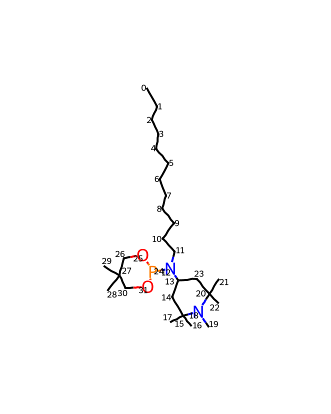 CCCCCCCCCCCCN(C1CC(C)(C)N(C)C(C)(C)C1)P1OCC(C)(C)CO1